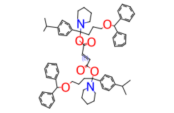 CC(C)c1ccc(C(CCCOC(c2ccccc2)c2ccccc2)(OC(=O)/C=C/C(=O)OC(CCCOC(c2ccccc2)c2ccccc2)(c2ccc(C(C)C)cc2)N2CCCCC2)N2CCCCC2)cc1